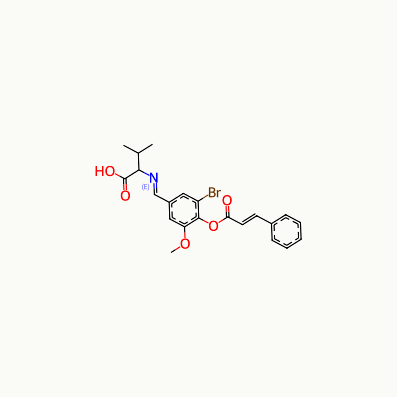 COc1cc(/C=N/C(C(=O)O)C(C)C)cc(Br)c1OC(=O)C=Cc1ccccc1